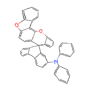 c1ccc(N(c2ccccc2)c2ccc3c(c2)C2(c4ccccc4Oc4c2ccc2oc5ccccc5c42)c2ccccc2-3)cc1